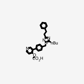 CCCCc1nc(CCc2ccccc2)nn1Cc1ccc(-c2cnccc2OC(=O)O)cc1